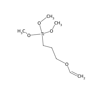 C=COCC[CH2][Ti]([O]C)([O]C)[O]C